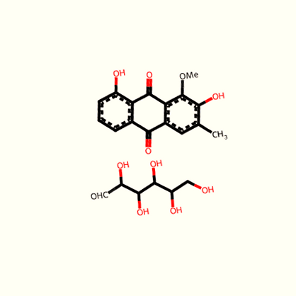 COc1c(O)c(C)cc2c1C(=O)c1c(O)cccc1C2=O.O=CC(O)C(O)C(O)C(O)CO